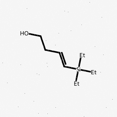 CC[Si](C=CCCO)(CC)CC